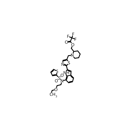 CCOCCN(c1cccc2cc(-c3ncc(CN4CCCCC4COC(=O)C(F)(F)F)s3)[nH]c12)S(=O)(=O)c1cccs1